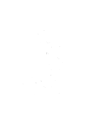 O=C(Nc1cc(-c2cc(-c3ccccc3Cl)[nH]c(=O)c2)ccn1)N1CCCC1